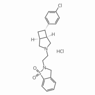 Cl.O=S1(=O)c2ccccc2CN1CCN1C[C@H]2C[C@H](c3ccc(Cl)cc3)[C@H]2C1